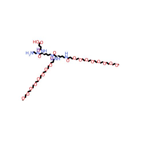 COCCOCCOCCOCCOCCOCCOCCOCCC(=O)NCCCC[C@H](NC(=O)CCOCCOCCOCCOCCOCCOCCOCCOC)C(=O)NCCCC[C@H](NC(=O)CCC(=O)O)C(=O)NCCN